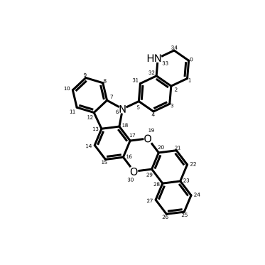 C1=Cc2ccc(-n3c4ccccc4c4ccc5c(c43)Oc3ccc4ccccc4c3O5)cc2NC1